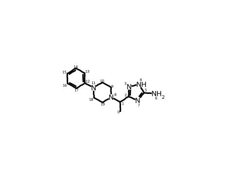 CC(c1n[nH]c(N)n1)N1CCN(c2ccccc2)CC1